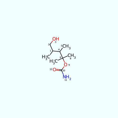 CC(CO)C(C)C(C)(C)OC(N)=O